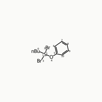 CCCC[Si](Br)(Br)Oc1ccccc1